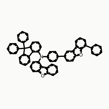 c1ccc(-c2cccc3c2oc2ccc(-c4ccc(N(c5cccc6c5-c5ccccc5C6(c5ccccc5)c5ccccc5)c5cccc6oc7ccccc7c56)cc4)cc23)cc1